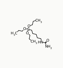 CCCO[Si](CCCCCNC(N)=O)(OCCC)OCCC